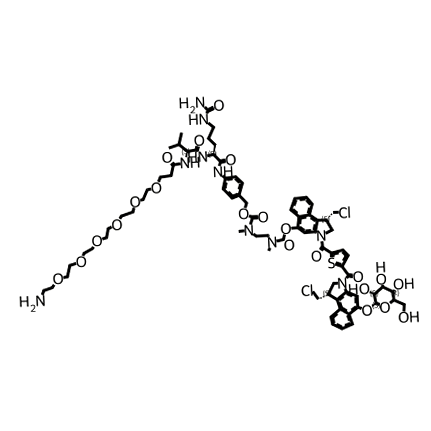 CC(C)[C@H](NC(=O)CCOCCOCCOCCOCCOCCOCCN)C(=O)N[C@@H](CCCNC(N)=O)C(=O)Nc1ccc(COC(=O)N(C)CCN(C)C(=O)Oc2cc3c(c4ccccc24)[C@H](CCl)CN3C(=O)c2ccc(C(=O)N3C[C@@H](CCl)c4c3cc(O[C@@H]3OC(CO)[C@H](O)C(O)[C@@H]3O)c3ccccc43)s2)cc1